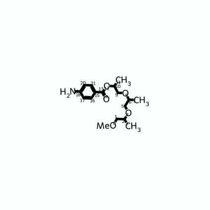 COCC(C)OCC(C)OCC(C)OC(=O)c1ccc(N)cc1